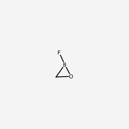 FB1CO1